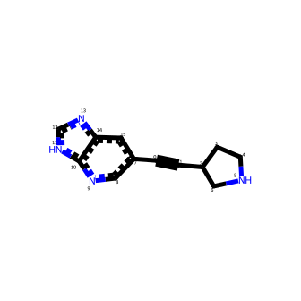 C(#CC1CCNC1)c1cnc2[nH]cnc2c1